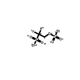 CCS(=O)(=O)OCC(F)(F)S(=O)(=O)CC